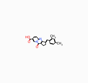 Cc1ccc(C=C2CCc3c2nc2ccc(C(=O)O)cn2c3=O)c(C)c1